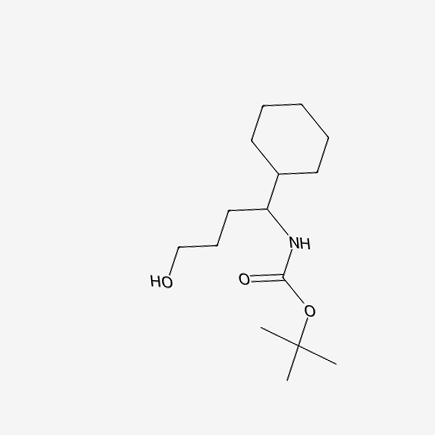 CC(C)(C)OC(=O)NC(CCCO)C1CCCCC1